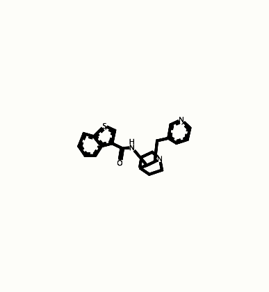 O=C(NC1C2CCN(CC2)C1Cc1cccnc1)c1csc2ccccc12